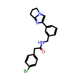 O=C(Cc1ccc(Br)cc1)NCc1cccc(-c2cn3c(n2)CCC3)c1